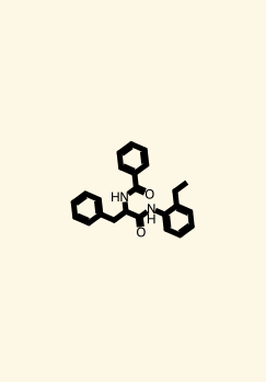 CCc1ccccc1NC(=O)C(Cc1ccccc1)NC(=O)c1ccccc1